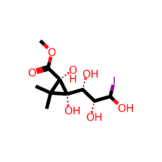 COC(=O)[C@]1(O)C(C)(C)[C@]1(O)[C@H](O)[C@@H](O)C(O)I